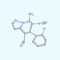 [C-]#[N+]c1c(-c2ccccc2Cl)c(C#N)c2ccnn2c1N